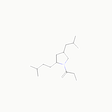 C=C(CC)N1CC(CC(C)C)CC1CCC(C)C